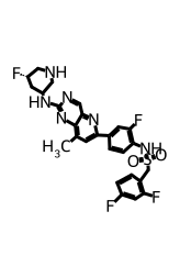 Cc1cc(-c2ccc(NS(=O)(=O)Cc3ccc(F)cc3F)c(F)c2)nc2cnc(N[C@@H]3CNC[C@@H](F)C3)nc12